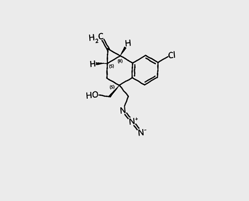 C=C1[C@H]2C[C@@](CO)(CN=[N+]=[N-])c3ccc(Cl)cc3[C@@H]12